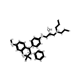 CCCN(CCC)C[C@@H](O)COc1ccc([C@@H]2c3ccc(OC)cc3OC(C)(C)[C@H]2c2ccccc2)cc1